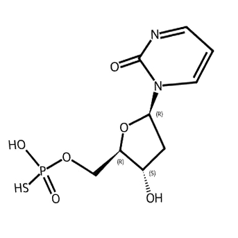 O=c1ncccn1[C@H]1C[C@H](O)[C@@H](COP(=O)(O)S)O1